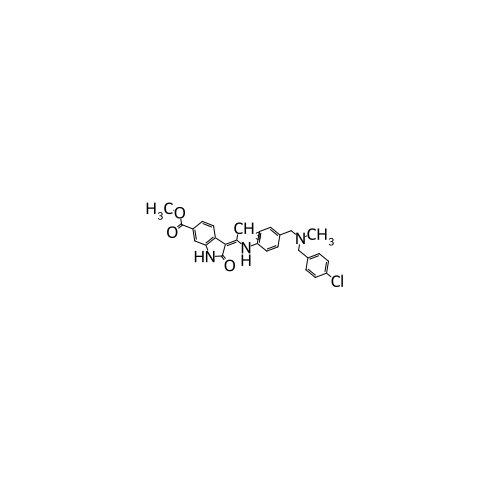 COC(=O)c1ccc2c(c1)NC(=O)/C2=C(/C)Nc1ccc(CN(C)Cc2ccc(Cl)cc2)cc1